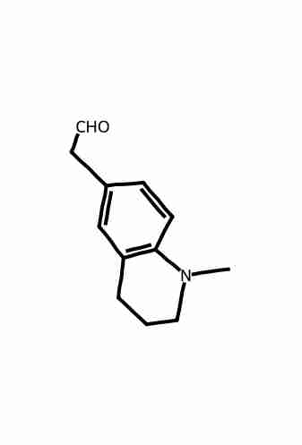 CN1CCCc2cc(CC=O)ccc21